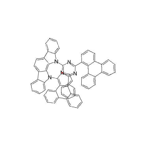 c1ccc(-c2nc(-c3cccc4c5ccccc5c5ccccc5c34)nc(-n3c4ccccc4c4ccc5c6ccccc6n(-c6cccc7c8ccccc8c8ccccc8c67)c5c43)n2)cc1